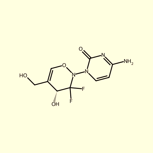 Nc1ccn(N2OC=C(CO)[C@@H](O)C2(F)F)c(=O)n1